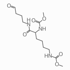 COC(=O)NCCCCC(NC(=O)OC)C(=O)NCCCC=O